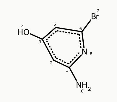 Nc1cc(O)cc(Br)n1